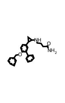 NC(=O)CCCNC1CC1c1ccc(OCc2ccccc2)c(-c2ccccc2)c1